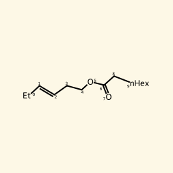 CCC=CCCOC(=O)CCCCCCC